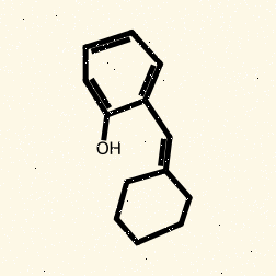 Oc1ccccc1C=C1CCCCC1